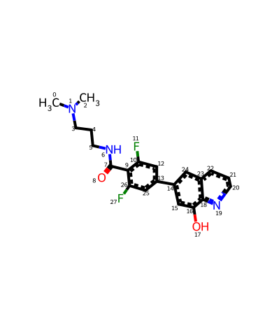 CN(C)CCCNC(=O)c1c(F)cc(-c2cc(O)c3ncccc3c2)cc1F